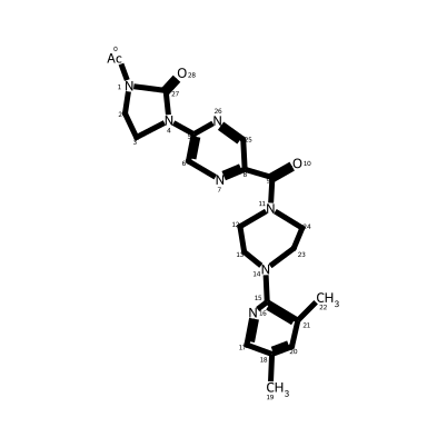 CC(=O)N1CCN(c2cnc(C(=O)N3CCN(c4ncc(C)cc4C)CC3)cn2)C1=O